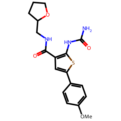 COc1ccc(-c2cc(C(=O)NCC3CCCO3)c(NC(N)=O)s2)cc1